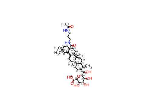 CC(=O)NCCCNC(=O)[C@]12CCC(C)(C)CC1C1=CCC3[C@@]4(C)CC[C@H](C(O)[C@@H]5OC(C(=O)O)[C@@H](O)C(O)C5O)[C@H](C)C4CC[C@@]3(C)[C@]1(C)CC2